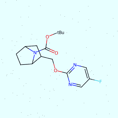 CC(C)(C)OC(=O)N1C2CCC1C(COc1ncc(F)cn1)C2